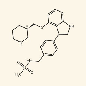 CS(=O)(=O)NCc1ccc(-c2c[nH]c3nccc(OC[C@@H]4CCCNC4)c23)cc1